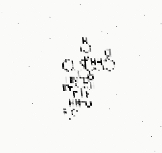 CC(C)[C@H](NC(=O)C(NC(=O)C(Cc1cccc(Cl)c1)NC(=O)c1ccncc1)c1ccccc1)C(O)C(F)(F)C(=O)NCC(F)(F)F